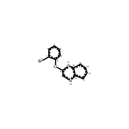 Brc1ccccc1Oc1cnc2ccccc2n1